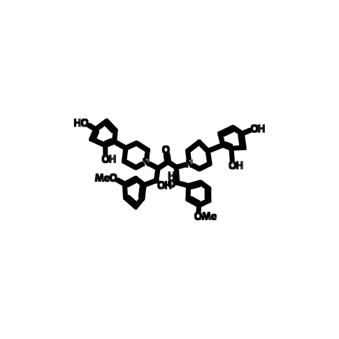 COc1cccc(C(O)C(C(=O)C(C(O)c2cccc(OC)c2)N2CCC(c3ccc(O)cc3O)CC2)N2CCC(c3ccc(O)cc3O)CC2)c1